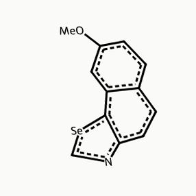 COc1ccc2ccc3nc[se]c3c2c1